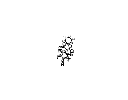 N#Cc1c(F)c(F)c(C2C(=O)OC3(CCCCC3)OC2=O)c(F)c1F